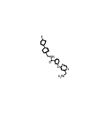 NCc1cc(Oc2cccc(C(=O)NCc3ccc(-c4ccc(F)cc4)cc3)c2)ncn1